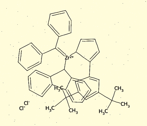 CC(C)(C)c1cc(C2=CC=C[CH]2[Zr+2](=[C](c2ccccc2)c2ccccc2)[CH]2c3ccccc3-c3ccccc32)cc(C(C)(C)C)c1.[Cl-].[Cl-]